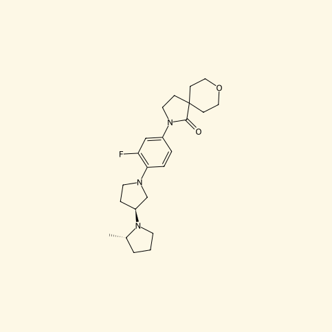 C[C@H]1CCCN1[C@H]1CCN(c2ccc(N3CCC4(CCOCC4)C3=O)cc2F)C1